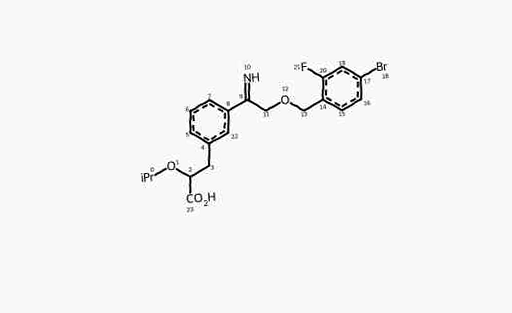 CC(C)OC(Cc1cccc(C(=N)COCc2ccc(Br)cc2F)c1)C(=O)O